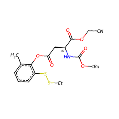 CCSSc1cccc(C)c1OC(=O)C[C@H](NC(=O)OC(C)(C)C)C(=O)OCC#N